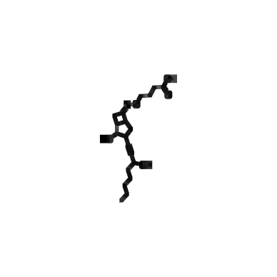 CCCCCC(O)C#CC1CC2C(=NOCCCC(=O)O)CC2C1O